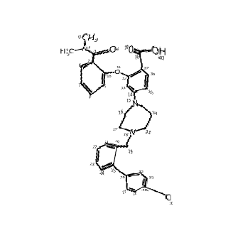 CN(C)C(=O)c1ccccc1Oc1cc(N2CCN(Cc3ccccc3-c3ccc(Cl)cc3)CC2)ccc1C(=O)O